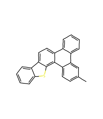 Cc1ccc2c(c1)c1ccccc1c1ccc3c4ccccc4sc3c12